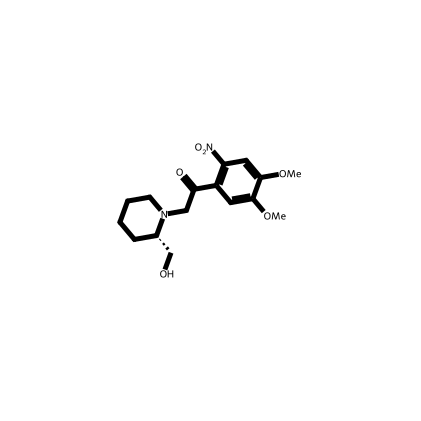 COc1cc(C(=O)CN2CCCC[C@H]2CO)c([N+](=O)[O-])cc1OC